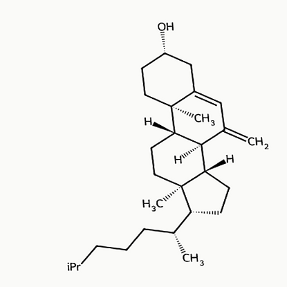 C=C1C=C2C[C@@H](O)CC[C@]2(C)[C@H]2CC[C@]3(C)[C@@H]([C@H](C)CCCC(C)C)CC[C@H]3[C@H]12